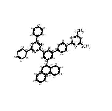 Cc1cc(C)nc(-c2ccc(-c3cc(-c4nc(-c5ccccc5)nc(C5C=CC=CC5)n4)cc(-c4cc5ccccc5c5ccccc45)c3)cc2)n1